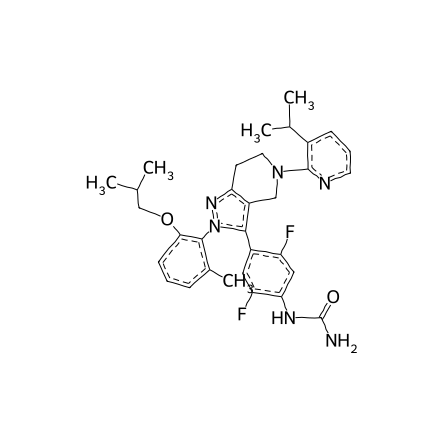 Cc1cccc(OCC(C)C)c1-n1nc2c(c1-c1cc(F)c(NC(N)=O)cc1F)CN(c1ncccc1C(C)C)CC2